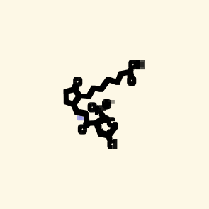 O=C(O)CCCCCCC1C(=O)CCC1/C=C/C(=O)c1cc(Cl)ccc1[N+](=O)[O-]